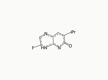 CC(C)c1cc2ncc(F)[nH]c-2nc1=O